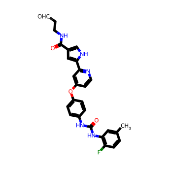 Cc1ccc(F)c(NC(=O)Nc2ccc(Oc3ccnc(-c4cc(C(=O)NCCC=O)c[nH]4)c3)cc2)c1